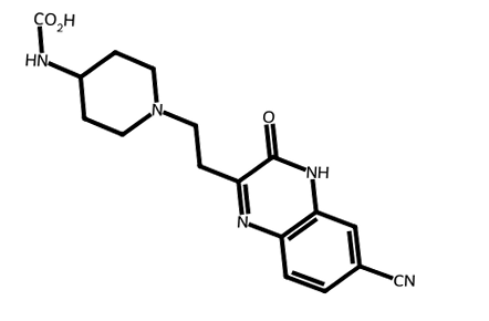 N#Cc1ccc2nc(CCN3CCC(NC(=O)O)CC3)c(=O)[nH]c2c1